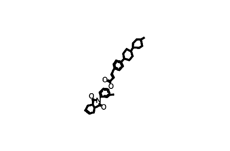 Cc1cc(N2C(=O)C3CC=CCC3C2=O)ccc1OC(=O)/C=C/c1ccc(C2CCC(C3CCC(C)CC3)CC2)cc1